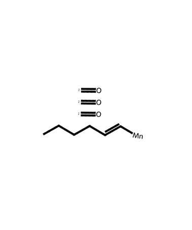 CCCCC=[CH][Mn].[C]=O.[C]=O.[C]=O